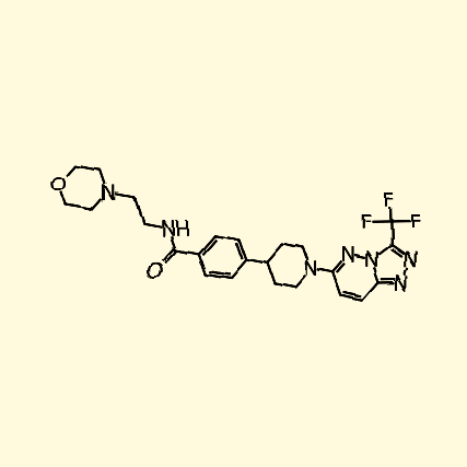 O=C(NCCN1CCOCC1)c1ccc(C2CCN(c3ccc4nnc(C(F)(F)F)n4n3)CC2)cc1